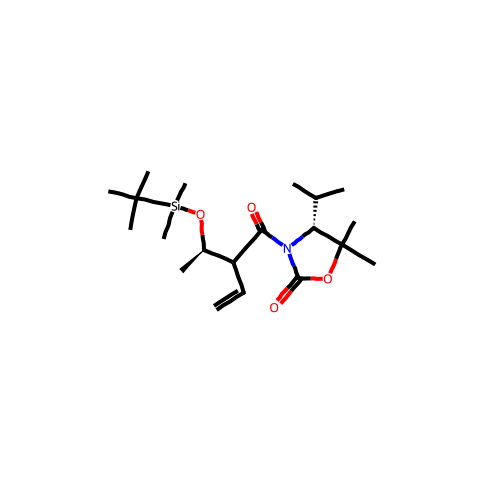 C=CC(C(=O)N1C(=O)OC(C)(C)[C@H]1C(C)C)[C@@H](C)O[Si](C)(C)C(C)(C)C